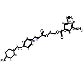 CCCC1CCC(COc2ccc(/C=C/C(=O)OCCOC(=O)c3cc(N)cc(N)c3)cc2)CC1